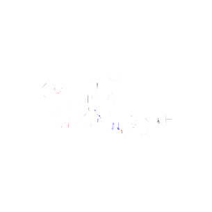 Cc1ccc(O/N=C/c2cc(C(=O)CCc3ccco3)c(C(C)C)n2Cc2ccccc2)cc1